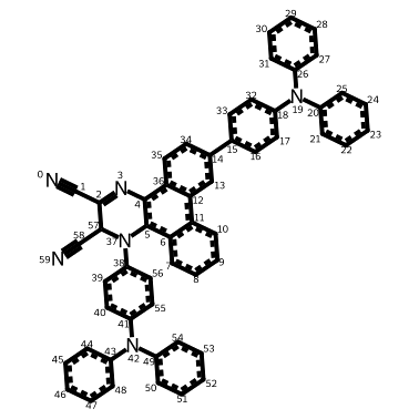 N#CC1=Nc2c(c3ccccc3c3cc(-c4ccc(N(c5ccccc5)c5ccccc5)cc4)ccc23)N(c2ccc(N(c3ccccc3)c3ccccc3)cc2)C1C#N